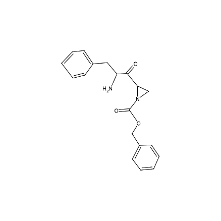 NC(Cc1ccccc1)C(=O)C1CN1C(=O)OCc1ccccc1